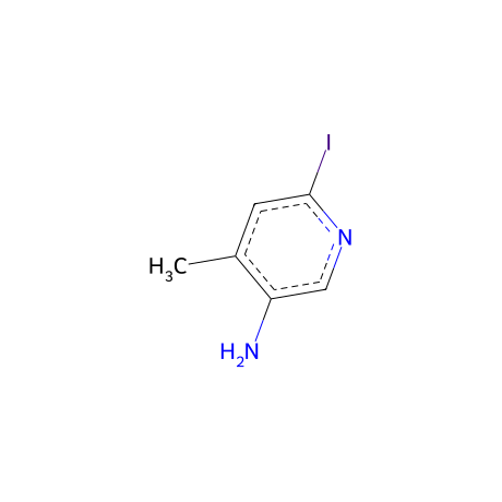 Cc1cc(I)ncc1N